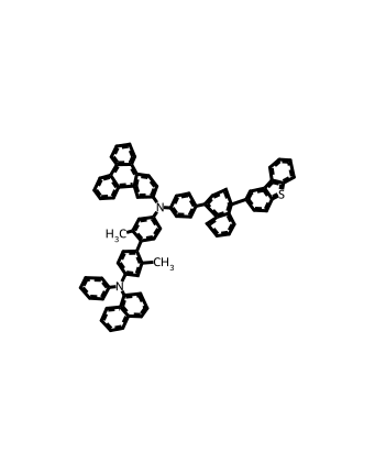 Cc1cc(N(c2ccc(-c3ccc(-c4ccc5sc6ccccc6c5c4)c4ccccc34)cc2)c2ccc3c4ccccc4c4ccccc4c3c2)ccc1-c1ccc(N(c2ccccc2)c2cccc3ccccc23)cc1C